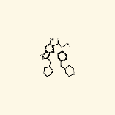 CN(C(=O)c1cc2c(CC3CCCCC3)n[nH]c2cc1O)c1ccc(CN2CCOCC2)cc1